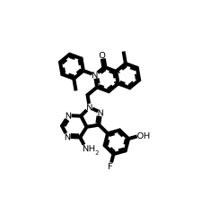 Cc1ccccc1-n1c(CN2N=C(c3cc(O)cc(F)c3)C3C(N)=NC=NC32)cc2cccc(C)c2c1=O